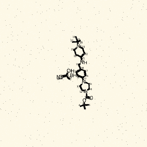 CC(=O)O.CC(C)(C)OC(=O)N1CCN(c2ccc(CNC3CCN(C(C)(C)C)CC3)cc2)CC1.[BH4-].[Na+]